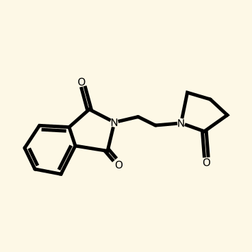 O=C1CCCN1CCN1C(=O)c2ccccc2C1=O